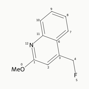 COc1cc(CF)c2ccccc2n1